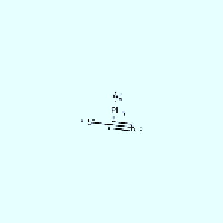 N#C[S-].P.[Ag+]